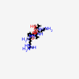 CC(C)[C@H](NC(=O)[C@H](CCCCN)NC(=O)[C@@H](NC(=O)[C@@H]1CCCN1C(=O)[C@@H](N)CCCNC(=N)N)C(C)C)C(=O)O